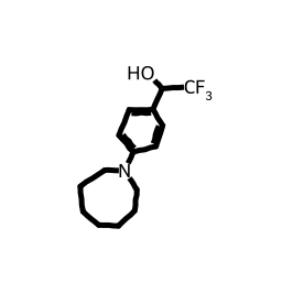 OC(c1ccc(N2CCCCCCC2)cc1)C(F)(F)F